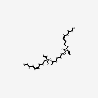 C=CP(=O)(OCC/C=C\CCCC)OCCCCC(C)OP(=O)(C=C)OCC/C=C\CCCC